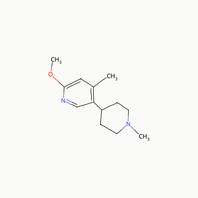 COc1cc(C)c(C2CCN(C)CC2)cn1